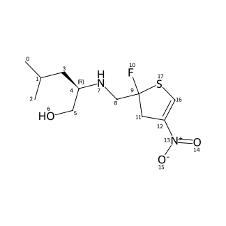 CC(C)C[C@H](CO)NCC1(F)CC([N+](=O)[O-])=CS1